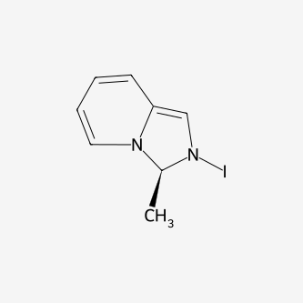 C[C@@H]1N(I)C=C2C=CC=CN21